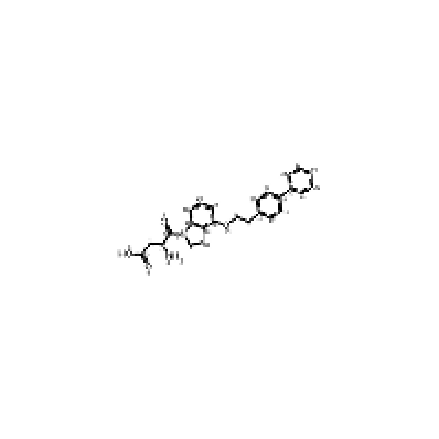 N[C@@H](CC(=O)O)C(=O)N1CCc2c(OCCc3ccc(-c4ccccc4)cc3)cccc21